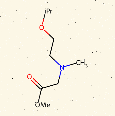 COC(=O)CN(C)CCOC(C)C